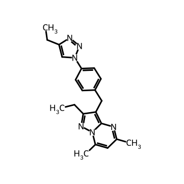 CCc1cn(-c2ccc(Cc3c(CC)nn4c(C)cc(C)nc34)cc2)nn1